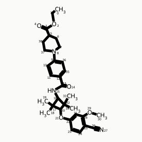 CCOC(=O)C1CCN(c2ccc(C(=O)NC3C(C)(C)C(Oc4ccc(C#N)c(OC)c4)C3(C)C)cc2)CC1